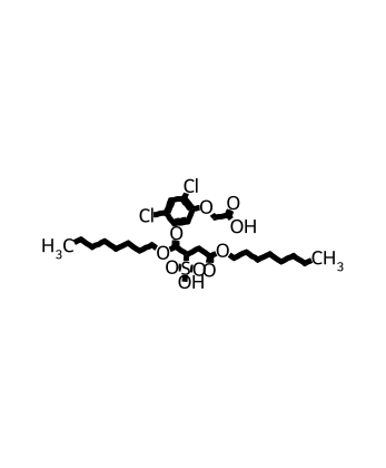 CCCCCCCCOC(=O)CC(C(=O)OCCCCCCCC)S(=O)(=O)O.O=C(O)COc1ccc(Cl)cc1Cl